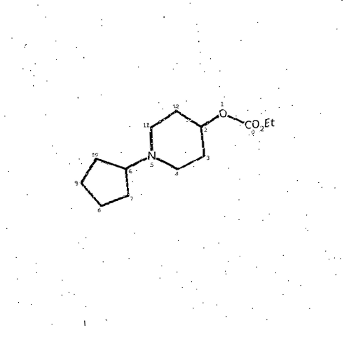 CCOC(=O)OC1CCN(C2CCCC2)CC1